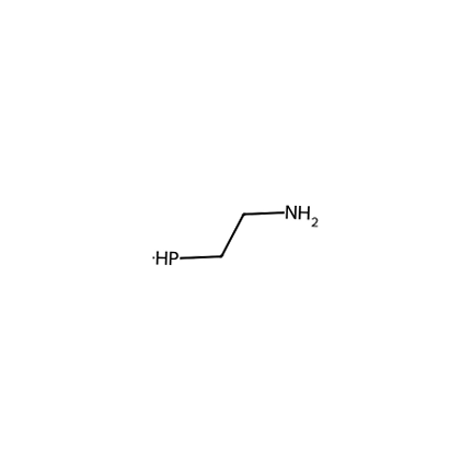 NCC[PH]